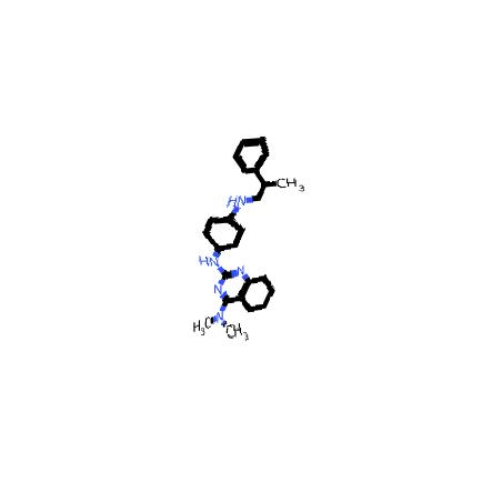 CC(CNC1CCC(Nc2nc3c(c(N(C)C)n2)CCCC3)CC1)c1ccccc1